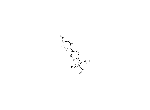 N[C@H](CF)[C@H](O)c1ccc(C2CC[S+]([O-])CC2)cc1